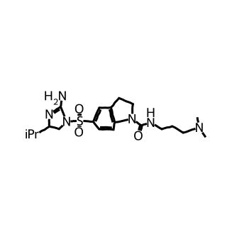 CC(C)C1CN(S(=O)(=O)c2ccc3c(c2)CCN3C(=O)NCCCN(C)C)C(N)=N1